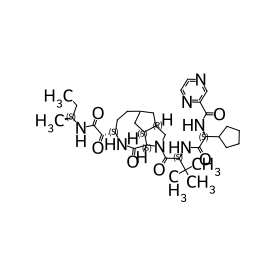 CC[C@H](C)NC(=O)C(=O)[C@@H]1CCC2C[C@H]3CN(C(=O)[C@@H](NC(=O)[C@@H](NC(=O)c4cnccn4)C4CCCC4)C(C)(C)C)[C@H](C(=O)N1)[C@H]3C2